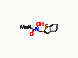 CNC(=O)N(O)Cc1cc2ccccc2s1